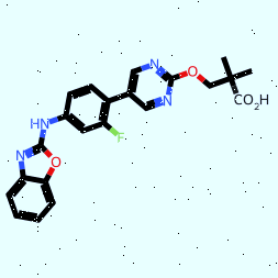 CC(C)(COc1ncc(-c2ccc(Nc3nc4ccccc4o3)cc2F)cn1)C(=O)O